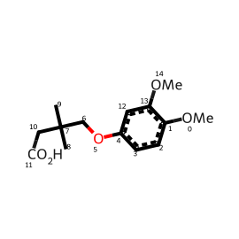 COc1ccc(OCC(C)(C)CC(=O)O)cc1OC